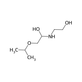 CC(C)OCC(O)NCCO